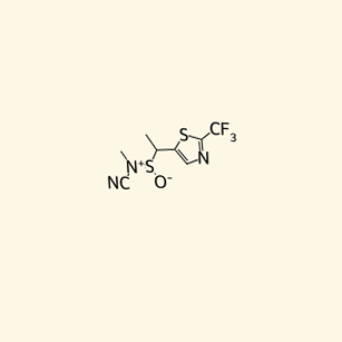 CC(c1cnc(C(F)(F)F)s1)S([O-])=[N+](C)C#N